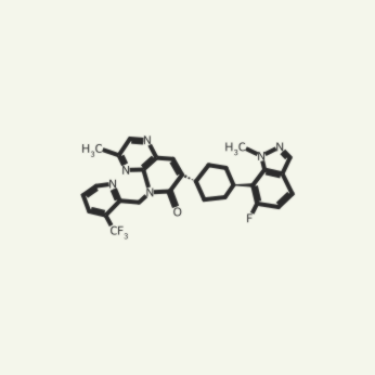 Cc1cnc2cc([C@H]3CC[C@H](c4c(F)ccc5cnn(C)c54)CC3)c(=O)n(Cc3ncccc3C(F)(F)F)c2n1